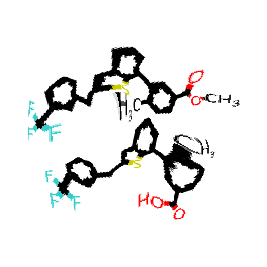 COC(=O)c1ccc(C)c(-c2cccc3cc(Cc4cccc(C(F)(F)F)c4)sc23)c1.Cc1ccc(C(=O)O)cc1-c1cccc2cc(Cc3cccc(C(F)(F)F)c3)sc12